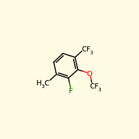 Cc1ccc(C(F)(F)F)c(OC(F)(F)F)c1F